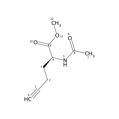 C#CCC[C@H](NC(C)=O)C(=O)OC